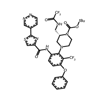 CC(C)(C)OC(=O)N1CCN(c2c(NC(=O)c3csc(-c4ccnnc4)n3)ccc(Oc3ccccc3)c2C(F)(F)F)C[C@@H]1CNC(=O)C(F)(F)F